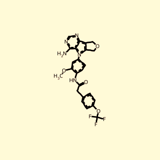 COc1cc(-n2c3c(c4ncnc(N)c42)COC3)ccc1NC(=O)Cc1ccc(OC(F)(F)F)cc1